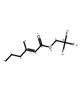 CCC/C(C)=C/C(=O)OCC(F)(F)F